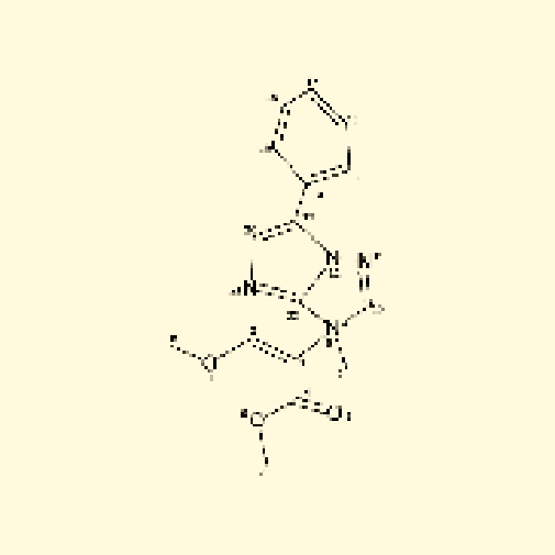 COC=C(C(=O)OC)[N+]1(C)C=Nn2c(-c3ccccc3)cnc21